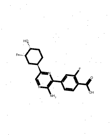 Nc1ncc([C@@H]2CC[C@@H](O)[C@@H](F)C2)nc1-c1ccc(C(=O)O)c(F)c1